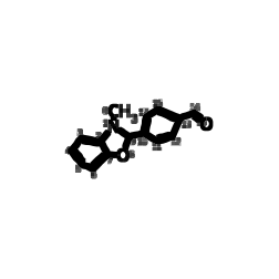 CN1c2ccccc2OC1c1ccc(C=O)cc1